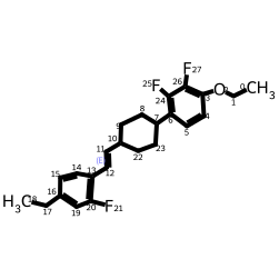 CCOc1ccc(C2CCC(/C=C/c3ccc(CC)cc3F)CC2)c(F)c1F